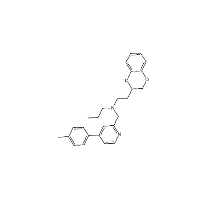 CCCN(CCC1COc2ccccc2O1)Cc1cc(-c2ccc(C)cc2)ccn1